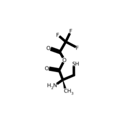 C[C@](N)(CS)C(=O)OC(=O)C(F)(F)F